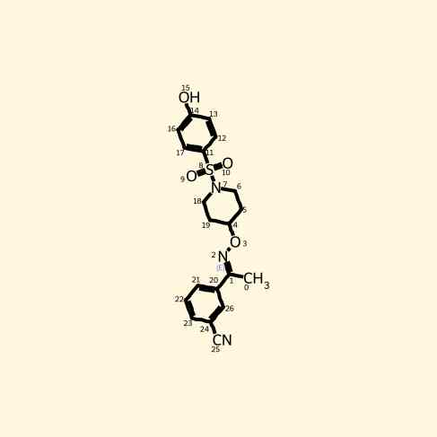 C/C(=N\OC1CCN(S(=O)(=O)c2ccc(O)cc2)CC1)c1cccc(C#N)c1